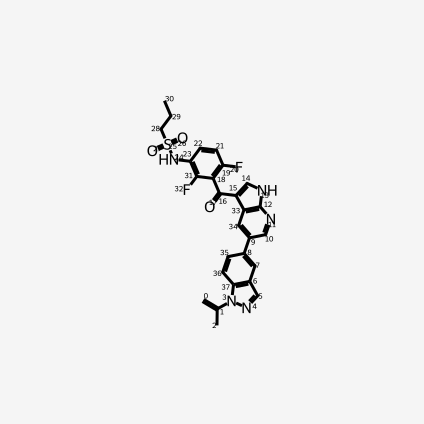 C=C(C)n1ncc2cc(-c3cnc4[nH]cc(C(=O)c5c(F)ccc(NS(=O)(=O)CCC)c5F)c4c3)ccc21